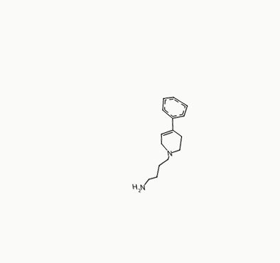 NCCCCN1CC=C(c2ccccc2)CC1